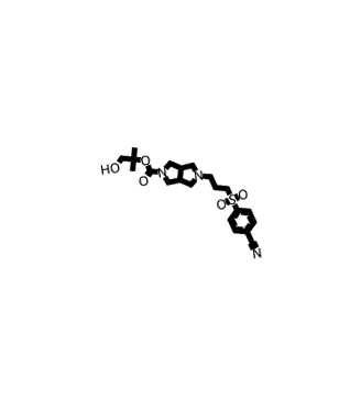 CC(C)(CO)OC(=O)N1CC2CN(CCCS(=O)(=O)c3ccc(C#N)cc3)CC2C1